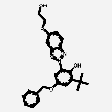 CC(C)(C)c1cc(OCc2ccccc2)cc(-n2nc3ccc(SCCO)cc3n2)c1O